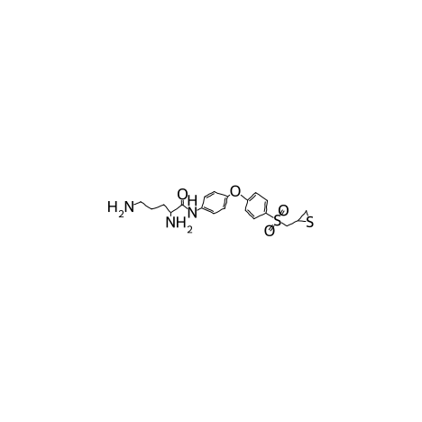 NCCCC(N)C(=O)Nc1ccc(Oc2ccc(S(=O)(=O)CC3CS3)cc2)cc1